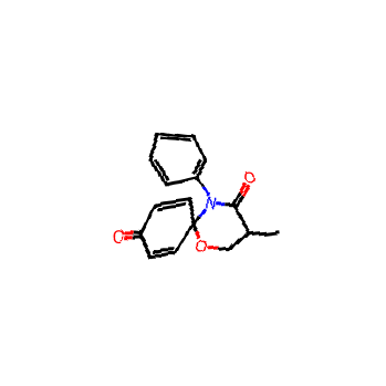 CC1COC2(C=CC(=O)C=C2)N(c2ccccc2)C1=O